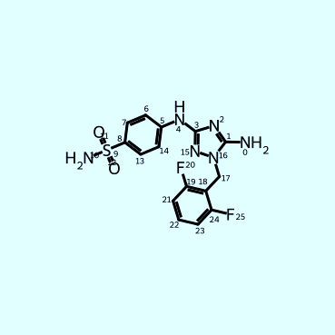 Nc1nc(Nc2ccc(S(N)(=O)=O)cc2)nn1Cc1c(F)cccc1F